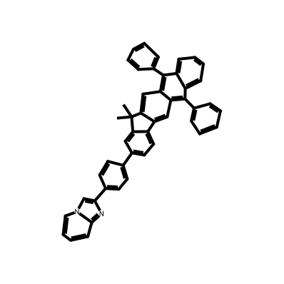 CC1(C)c2cc(-c3ccc(-c4cn5ccccc5n4)cc3)ccc2-c2cc3c(-c4ccccc4)c4ccccc4c(-c4ccccc4)c3cc21